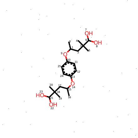 CC(CC(C)(C)C(O)O)Oc1ccc(OC(C)CC(C)(C)C(O)O)cc1